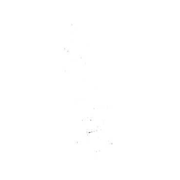 C[C@H]1[C@H](NC(=O)c2ccc(Oc3nc(Cl)co3)cc2)C2CCN1CC2